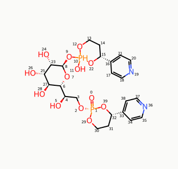 O=[P@]1(OC[C@@H](O)[C@H]2O[C@H](O[PH]3(O)OCC[C@H](c4ccncc4)O3)[C@@H](O)[C@@H](O)[C@@H]2O)OCC[C@@H](c2ccncc2)O1